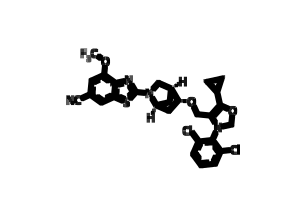 N#Cc1cc(OC(F)(F)F)c2nc(N3C[C@@H]4C[C@H]3C[C@H]4OCC3=C(C4CC4)OCN3c3c(Cl)cccc3Cl)sc2c1